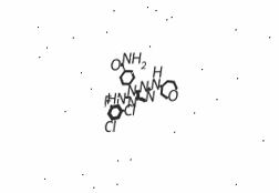 NC(=O)[C@H]1CC[C@H](n2c(Nc3c(F)cc(Cl)cc3Cl)nc3cnc(NC4CCCOCC4)nc32)CC1